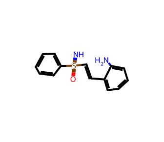 N=S(=O)(/C=C/c1ccccc1N)c1ccccc1